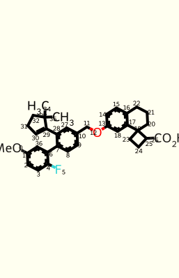 COc1ccc(F)c(-c2ccc(COc3ccc4c(c3)C3(CCC4)CCC3C(=O)O)cc2C2=CCCC2(C)C)c1